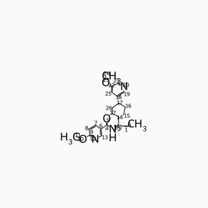 CC[C@@H](NC(=O)c1ccc(OC)nc1)[C@H]1CC[C@@H](c2cncc(OC)c2)CC1